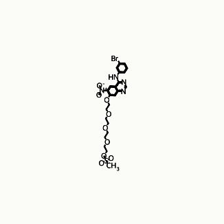 CS(=O)(=O)OCCOCCOCCOCCOc1cc2ncnc(Nc3cccc(Br)c3)c2cc1[N+](=O)[O-]